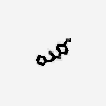 Oc1ccc(OC(Cl)Cc2ccccc2)cc1